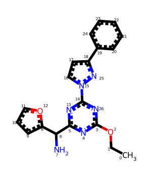 CCOc1nc(C(N)c2ccco2)nc(-n2ccc(-c3ccccc3)n2)n1